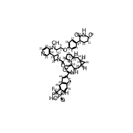 CN(CCOc1ccc(C2CCC(=O)NC2=O)cc1)c1ccncc1C1CN(C(=O)[C@@H]2CC[C@@H]3C[C@H]4C[C@H]4C[C@H](NC(=O)c4cc5cc(C(F)(F)P(=O)(O)O)ccc5s4)C(=O)N32)C1